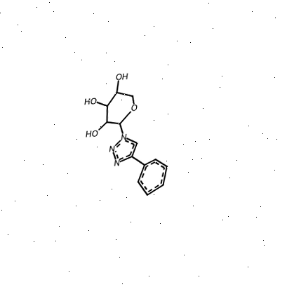 OC1COC(n2cc(-c3ccccc3)nn2)C(O)C1O